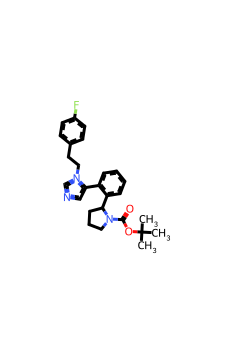 CC(C)(C)OC(=O)N1CCCC1c1ccccc1-c1cncn1CCc1ccc(F)cc1